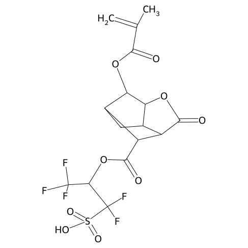 C=C(C)C(=O)OC1C2CC3C1OC(=O)C3C2C(=O)OC(C(F)(F)F)C(F)(F)S(=O)(=O)O